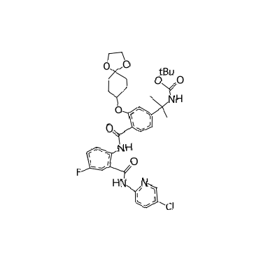 CC(C)(C)OC(=O)NC(C)(C)c1ccc(C(=O)Nc2ccc(F)cc2C(=O)Nc2ccc(Cl)cn2)c(OC2CCC3(CC2)OCCO3)c1